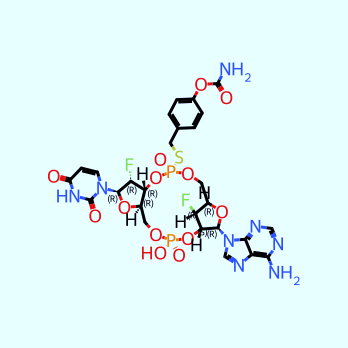 NC(=O)Oc1ccc(CSP2(=O)OC[C@H]3O[C@@H](n4cnc5c(N)ncnc54)[C@H](OP(=O)(O)OC[C@H]4O[C@@H](n5ccc(=O)[nH]c5=O)[C@H](F)[C@@H]4O2)[C@@H]3F)cc1